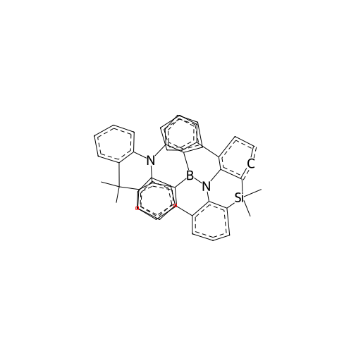 CC1(C)c2ccccc2N2c3ccccc3B(N3c4c(-c5ccccc5)cccc4[Si](C)(C)c4cccc(-c5ccccc5)c43)c3cccc1c32